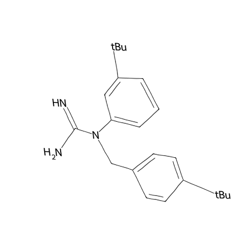 CC(C)(C)c1ccc(CN(C(=N)N)c2cccc(C(C)(C)C)c2)cc1